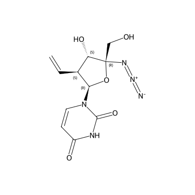 C=C[C@@H]1[C@H](n2ccc(=O)[nH]c2=O)O[C@@](CO)(N=[N+]=[N-])[C@H]1O